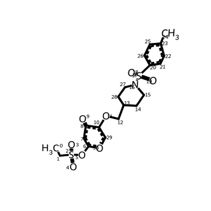 CCS(=O)(=O)Oc1cc(=O)c(OCC2CCN(S(=O)(=O)c3ccc(C)cc3)CC2)co1